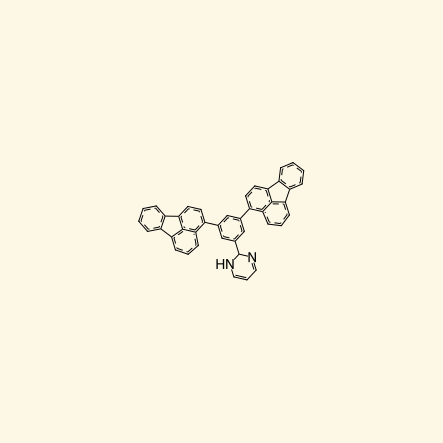 C1=CNC(c2cc(-c3ccc4c5c(cccc35)-c3ccccc3-4)cc(-c3ccc4c5c(cccc35)-c3ccccc3-4)c2)N=C1